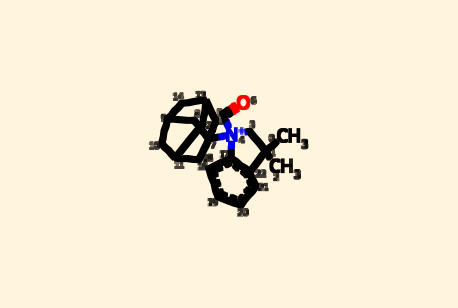 CC1(C)C[N+](C=O)(C23CC4CC(CC(C4)C2)C3)c2ccccc21